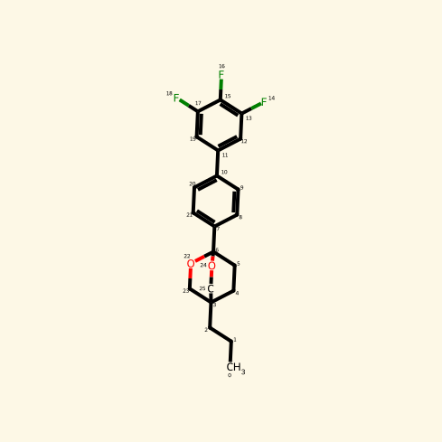 CCCC12CCC(c3ccc(-c4cc(F)c(F)c(F)c4)cc3)(OC1)OC2